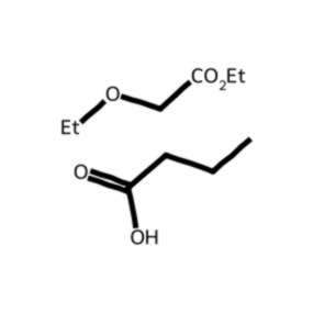 CCCC(=O)O.CCOCC(=O)OCC